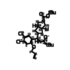 C=CCOc1cc(Cl)c(Cl)cc1C(N[S+]([O-])C(C)(C)C)C1C[C@@H]2CN(C(=O)OC(C)(C)C)C[C@@H]2C1